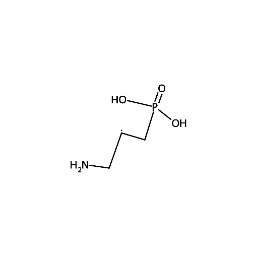 NC[CH]CP(=O)(O)O